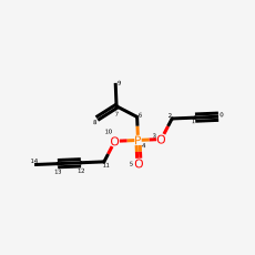 C#CCOP(=O)(CC(=C)C)OCC#CC